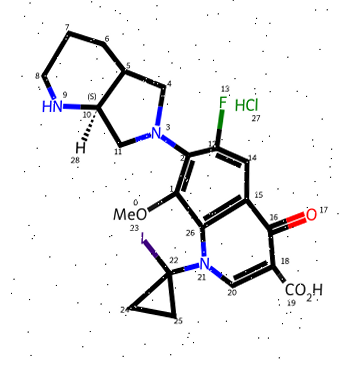 COc1c(N2CC3CCCN[C@@H]3C2)c(F)cc2c(=O)c(C(=O)O)cn(C3(I)CC3)c12.Cl